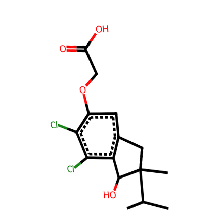 CC(C)C1(C)Cc2cc(OCC(=O)O)c(Cl)c(Cl)c2C1O